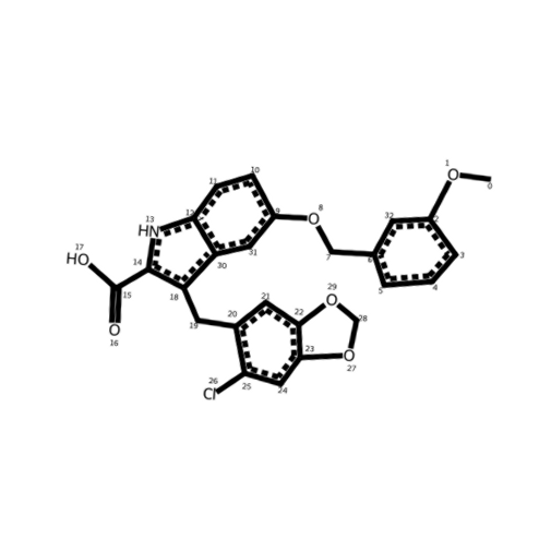 COc1cccc(COc2ccc3[nH]c(C(=O)O)c(Cc4cc5c(cc4Cl)OCO5)c3c2)c1